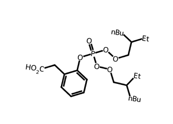 CCCCC(CC)COOP(=O)(OOCC(CC)CCCC)Oc1ccccc1CC(=O)O